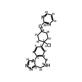 ClC1(c2ccc3c(c2)CNCc2nncn2-3)CCC(Oc2ncccn2)CC1